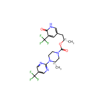 C[C@@H](Cc1c[nH]c(=O)c(C(F)(F)F)c1)OC(=O)N1CCN(c2ncc(C(F)(F)F)cn2)[C@@H](C)C1